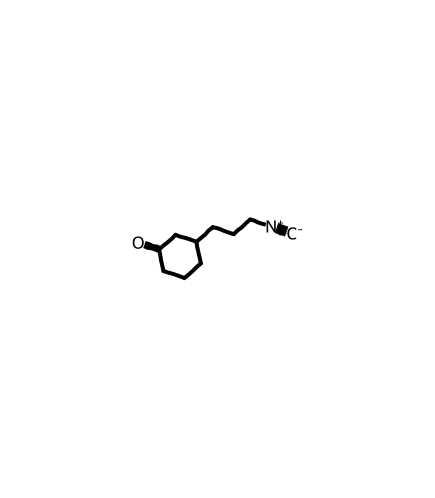 [C-]#[N+]CCCC1CCCC(=O)C1